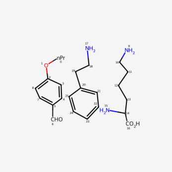 CCCOc1ccc(C=O)cc1.NCCCCC(N)C(=O)O.NCCc1ccccc1